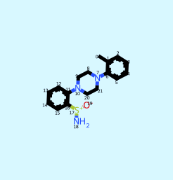 Cc1ccccc1N1CCN(c2ccccc2[S+](N)[O-])CC1